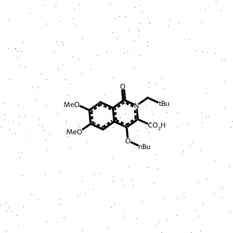 CCCCOc1c(C(=O)O)n(CC(C)(C)C)c(=O)c2cc(OC)c(OC)cc12